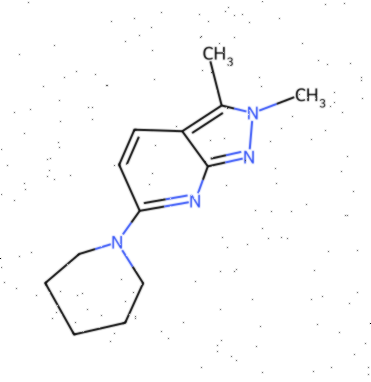 Cc1c2ccc(N3CCCCC3)nc2nn1C